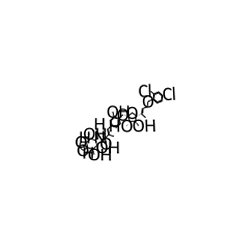 CC(=Cc1ccc(O[C@@H]2O[C@H](C(C)=CCOc3ccc(Cl)cc3Cl)[C@@H](O)[C@@H]2O)c(O)c1)C(=O)N[C@@H]1[C@H](O)[C@@H](O)[C@H]2OCO[C@H]2[C@@H]1O